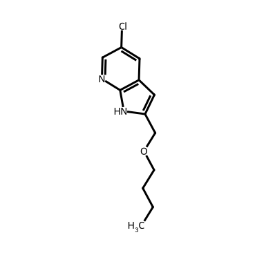 CCCCOCc1cc2cc(Cl)cnc2[nH]1